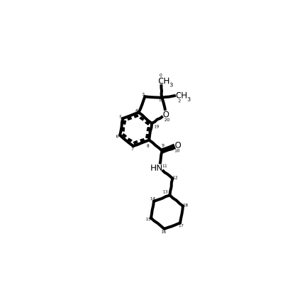 CC1(C)Cc2cccc(C(=O)NCC3CCCCC3)c2O1